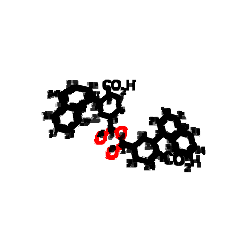 O=C(OC(=O)C1CCC(C(=O)O)C(c2cccc3ccccc23)C1)C1CCC(C(=O)O)C(c2cccc3ccccc23)C1